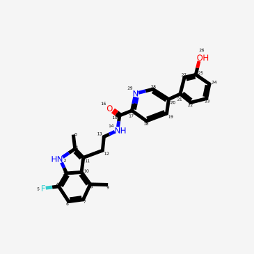 Cc1[nH]c2c(F)ccc(C)c2c1CCNC(=O)c1ccc(-c2cccc(O)c2)cn1